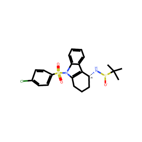 CC(C)(C)[S+]([O-])N[C@@H]1CCCc2c1c1ccccc1n2S(=O)(=O)c1ccc(Cl)cc1